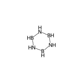 B1NBNBN1